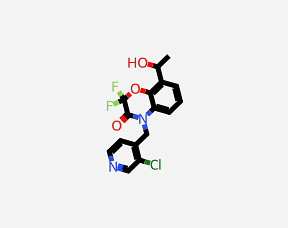 CC(O)c1cccc2c1OC(F)(F)C(=O)N2Cc1ccncc1Cl